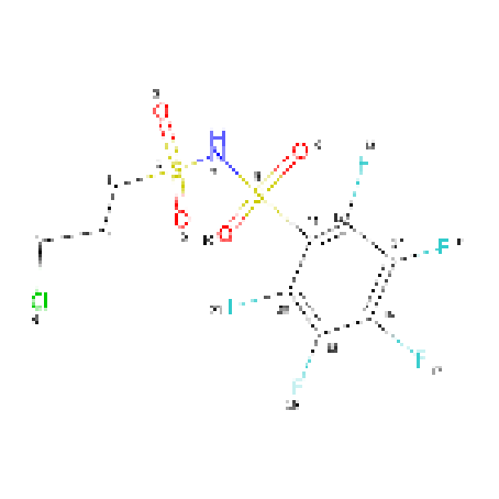 O=S(=O)(CCCCl)NS(=O)(=O)c1c(F)c(F)c(F)c(F)c1F